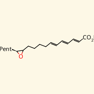 CCCCC[C@@H]1OC1CCCC/C=C/C=C/C=C/C(=O)O